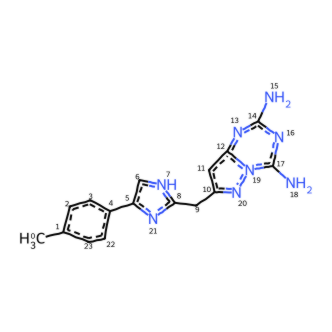 Cc1ccc(-c2c[nH]c(Cc3cc4nc(N)nc(N)n4n3)n2)cc1